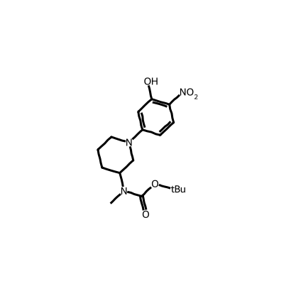 CN(C(=O)OC(C)(C)C)C1CCCN(c2ccc([N+](=O)[O-])c(O)c2)C1